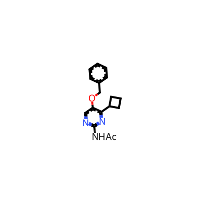 CC(=O)Nc1ncc(OCc2ccccc2)c(C2CCC2)n1